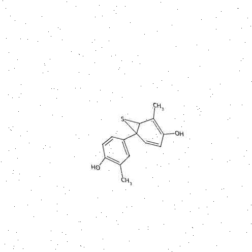 CC1=C(O)C=CC2(c3ccc(O)c(C)c3)SC12